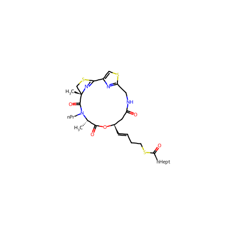 CCCCCCCC(=O)SCC/C=C/[C@@H]1CC(=O)NCc2nc(cs2)C2=N[C@@](C)(CS2)C(=O)N(CCC)[C@@H](C)C(=O)O1